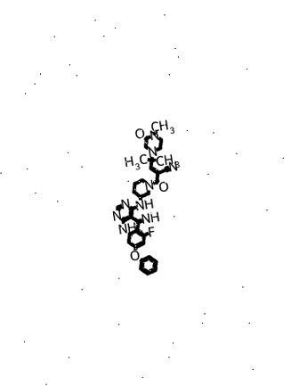 CN1CCN(C(C)(C)/C=C(\C#N)C(=O)N2CCCC(Nc3ncnc(N)c3C(=N)C3=C(F)C=C(Oc4ccccc4)CC3)C2)CC1=O